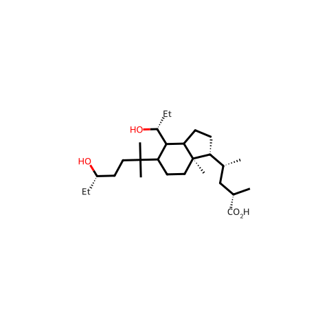 CC[C@H](O)CCC(C)(C)C1CC[C@@]2(C)C(CC[C@@H]2[C@H](C)C[C@H](C)C(=O)O)C1[C@H](O)CC